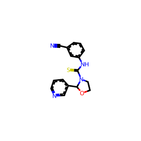 N#Cc1cccc(NC(=S)N2CCOC2c2cccnc2)c1